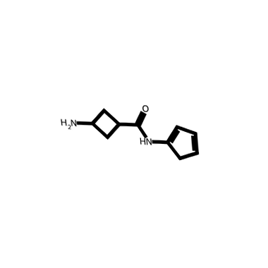 NC1CC(C(=O)NC2=CC=CC2)C1